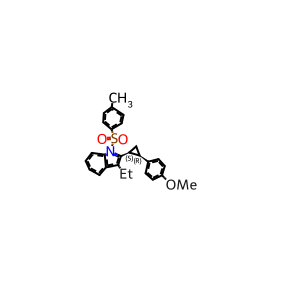 CCc1c([C@H]2C[C@H]2c2ccc(OC)cc2)n(S(=O)(=O)c2ccc(C)cc2)c2ccccc12